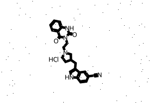 Cl.N#Cc1ccc2[nH]cc(CC3CCN(CCn4c(=O)[nH]c5ccccc5c4=O)C3)c2c1